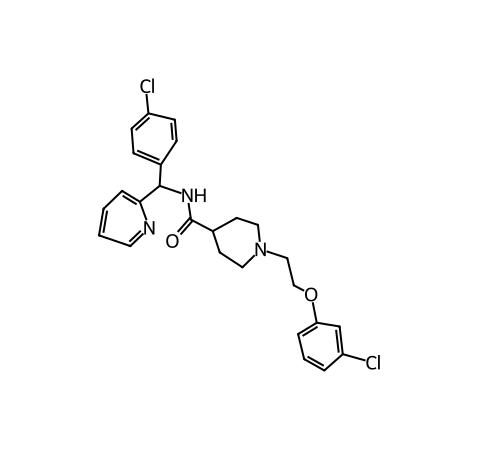 O=C(NC(c1ccc(Cl)cc1)c1ccccn1)C1CCN(CCOc2cccc(Cl)c2)CC1